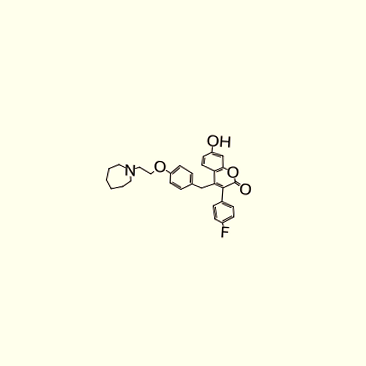 O=c1oc2cc(O)ccc2c(Cc2ccc(OCCN3CCCCCC3)cc2)c1-c1ccc(F)cc1